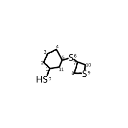 SC1CCCC(SC2CSC2)C1